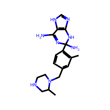 Cc1cc(CN2CCNCC2C)ccc1C1(N)N=C(N)c2[nH]cnc2N1